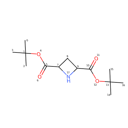 CC(C)(C)OC(=O)C1CC(C(=O)OC(C)(C)C)N1